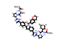 COC(=O)NC(C(=O)N1CCC[C@H]1c1ncc(-c2ccc3c(c2)cc2n3C(c3ccc4c(c3)OCCC4)Oc3cc(-c4cnc([C@@H]5CCCN5C(=O)[C@@H](NC(=O)OC)C(C)C)[nH]4)cc(F)c3-2)[nH]1)C1C[C@@H](C)O[C@H](C)C1